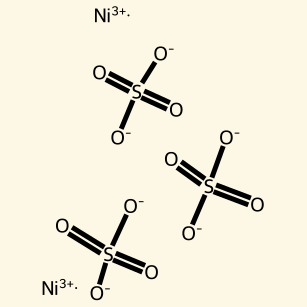 O=S(=O)([O-])[O-].O=S(=O)([O-])[O-].O=S(=O)([O-])[O-].[Ni+3].[Ni+3]